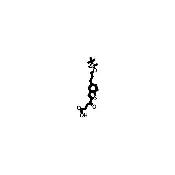 CC(C)(C)[Si](C)(C)OCCCc1ccc2sc(C(=O)CCC(=O)O)cc2c1